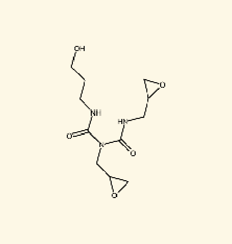 O=C(NCCCO)N(CC1CO1)C(=O)NCC1CO1